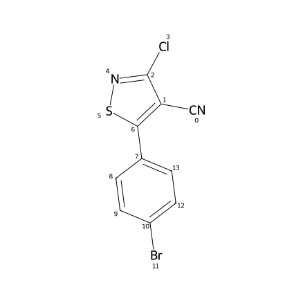 N#Cc1c(Cl)nsc1-c1ccc(Br)cc1